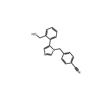 N#Cc1ccc(Cn2cncc2-c2ccccc2CO)cc1